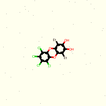 CCc1c(O)c(O)c(CC)c2c1Oc1c(Cl)c(Cl)c(Cl)c(Cl)c1O2